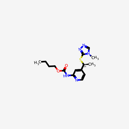 CCCCOC(=O)Nc1cc([C@H](C)Sc2nncn2C)ccn1